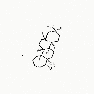 C[C@@]1(O)CC[C@H]2[C@H](CC[C@@H]3[C@@H]2CC[C@]2(C)[C@H](O)CCCC[C@@H]32)C1